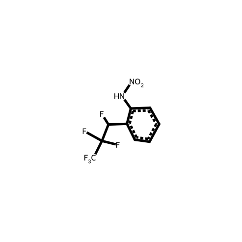 O=[N+]([O-])Nc1ccccc1C(F)C(F)(F)C(F)(F)F